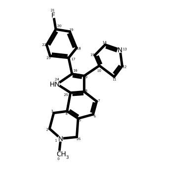 CN1CCc2c(ccc3c(-c4ccncc4)c(-c4ccc(F)cc4)[nH]c23)C1